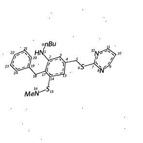 CCCCNc1cc(CSc2ncccn2)cc(SNC)c1Cc1ccccc1